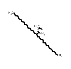 CCCCCCCCCCCCCCCC(CCCCCCCCCCCCCC)C(N)SC(C)=S